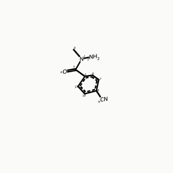 CN(N)C(=O)c1ccc(C#N)cc1